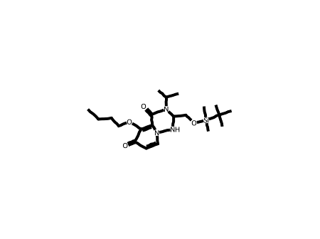 CCCCOc1c2n(ccc1=O)NC(CO[Si](C)(C)C(C)(C)C)N(C(C)C)C2=O